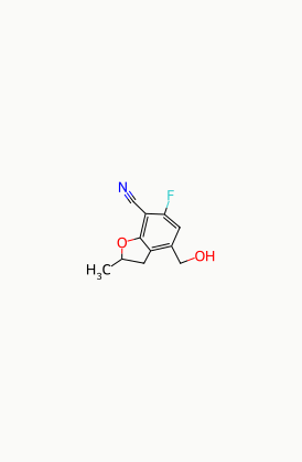 CC1Cc2c(CO)cc(F)c(C#N)c2O1